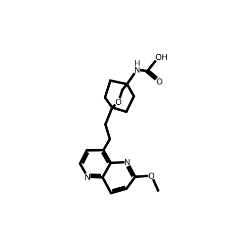 COc1ccc2nccc(CCC34CCC(NC(=O)O)(CC3)CO4)c2n1